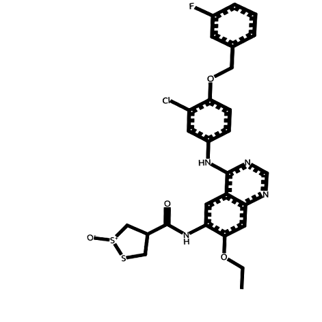 CCOc1cc2ncnc(Nc3ccc(OCc4cccc(F)c4)c(Cl)c3)c2cc1NC(=O)C1CS[S+]([O-])C1